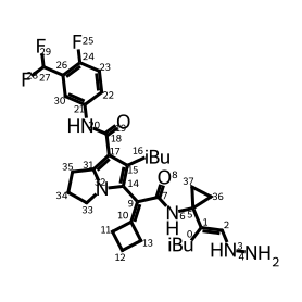 CCC(C)/C(=C\NN)C1(NC(=O)C(=C2CCC2)c2c(C(C)CC)c(C(=O)Nc3ccc(F)c(C(F)F)c3)c3n2CCC3)CC1